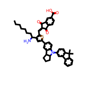 CCCCCCCC(N)c1cc(-c2ccc3c(c2)C2CCCC2N3c2ccc3c(c2)-c2ccccc2C3(C)C)sc1/C=C1\C(=O)c2ccc(C(=O)O)cc2C1=O